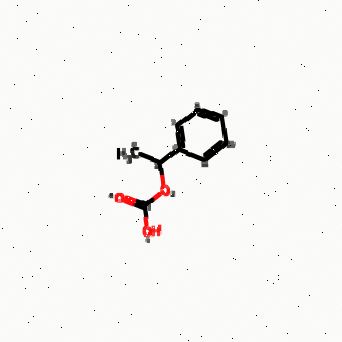 CC(OC(=O)O)c1ccccc1